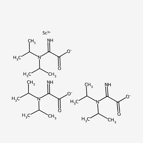 CC(C)N(C(=N)C(=O)[O-])C(C)C.CC(C)N(C(=N)C(=O)[O-])C(C)C.CC(C)N(C(=N)C(=O)[O-])C(C)C.[Sc+3]